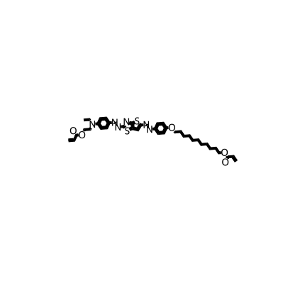 C=CC(=O)OCCCCCCCCCCCOc1ccc(/N=N/c2cc3sc(/N=N/c4ccc(N(CC)CCOC(=O)C=C)cc4)nc3s2)cc1